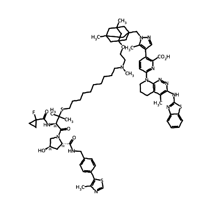 Cc1ncsc1-c1ccc(CNC(=O)[C@@H]2C[C@@H](O)CN2C(=O)[C@@H](NC(=O)C2(F)CC2)C(C)(C)SCCCCCCCCCCN(C)CCOC23CC4(C)CC(C)(CC(Cn5ncc(-c6ccc(N7CCCc8c7nnc(Nc7nc9ccccc9s7)c8C)nc6C(=O)O)c5C)(C4)C2)C3)cc1